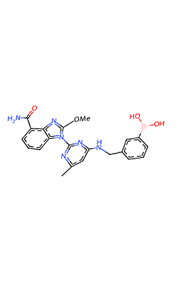 COc1nc2c(C(N)=O)cccc2n1-c1nc(C)cc(NCc2cccc(B(O)O)c2)n1